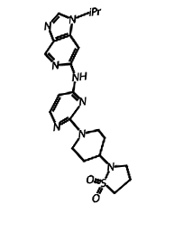 CC(C)n1cnc2cnc(Nc3ccnc(N4CCC(N5CCCS5(=O)=O)CC4)n3)cc21